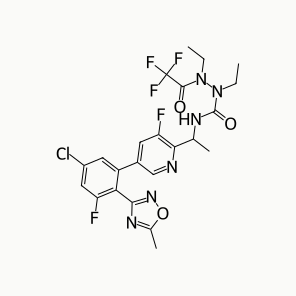 CCN(C(=O)NC(C)c1ncc(-c2cc(Cl)cc(F)c2-c2noc(C)n2)cc1F)N(CC)C(=O)C(F)(F)F